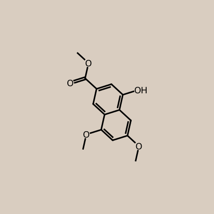 COC(=O)c1cc(O)c2cc(OC)cc(OC)c2c1